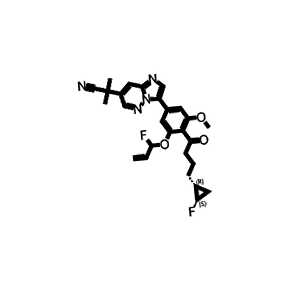 C=CC(F)Oc1cc(-c2cnc3cc(C(C)(C)C#N)cnn23)cc(OC)c1C(=O)CCC[C@@H]1C[C@@H]1F